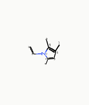 C=Cn1c(C)cc(C)c1C